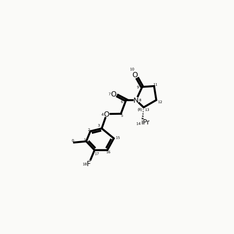 Cc1cc(OCC(=O)N2C(=O)CC[C@@H]2C(C)C)ccc1F